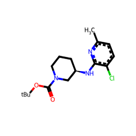 Cc1ccc(Cl)c(N[C@@H]2CCCN(C(=O)OC(C)(C)C)C2)n1